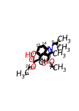 CCOC(=O)c1c(C)n(CC(C)C)c2ccc(O)c(C(C)C(=O)OCC)c12